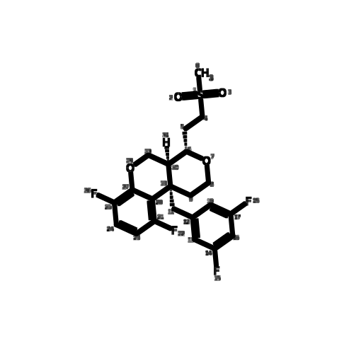 CS(=O)(=O)CC[C@@H]1OCC[C@@]2(Cc3cc(F)cc(F)c3)c3c(F)ccc(F)c3OC[C@@H]12